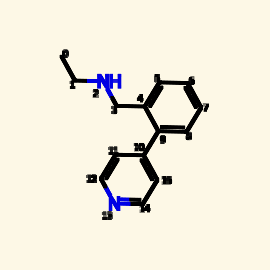 CCNCc1ccccc1-c1ccncc1